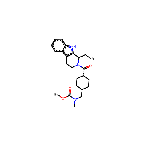 CC(C)CC1c2[nH]c3ccccc3c2CCN1C(=O)[C@H]1CC[C@H](CN(C)C(=O)OC(C)(C)C)CC1